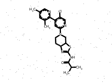 Cc1cnc(-c2cc(N3CCC4N=C(NC(=O)C(C)C)SC4C3)ncc2Cl)c(C)c1